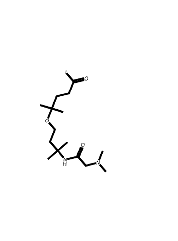 CN(C)CC(=O)NC(C)(C)CCOC(C)(C)CCC(=O)I